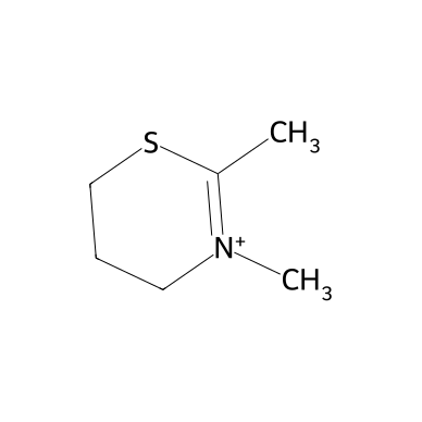 CC1=[N+](C)CCCS1